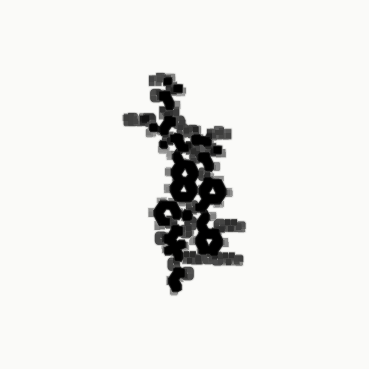 C=CC(=O)OCC(C)(C)C(=O)C(=O)N1CCCC[C@H]1C(=O)O[C@H](CCc1cc(OC)c(OC)cc1OC)c1cccc(OCC(=O)N(C)[C@@H](CCCC)C(=O)N[C@@H](Cc2ccc3ccccc3c2)C(=O)N(C)[C@@H](COC(C)(C)C)C(=O)NCC(=O)N(C)CCC)c1